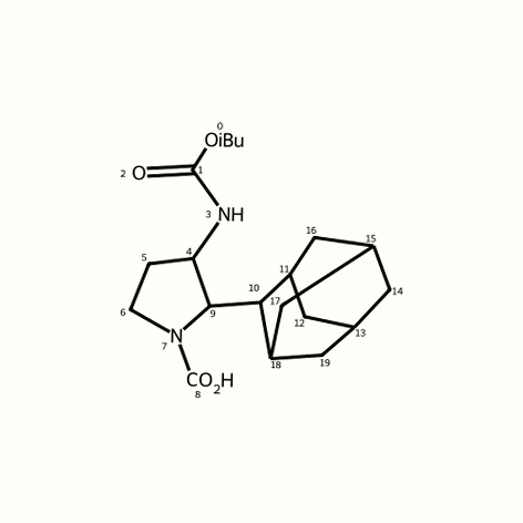 CC(C)COC(=O)NC1CCN(C(=O)O)C1C1C2CC3CC(C2)CC1C3